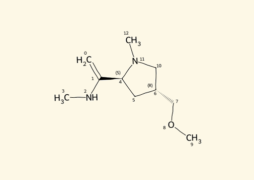 C=C(NC)[C@@H]1C[C@@H](COC)CN1C